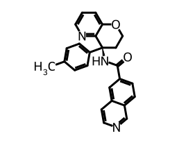 Cc1ccc([C@@]2(NC(=O)c3ccc4cnccc4c3)CCOc3cccnc32)cc1